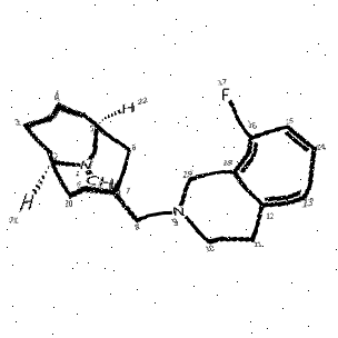 CN1[C@@H]2CC[C@H]1CC(CN1CCc3cccc(F)c3C1)C2